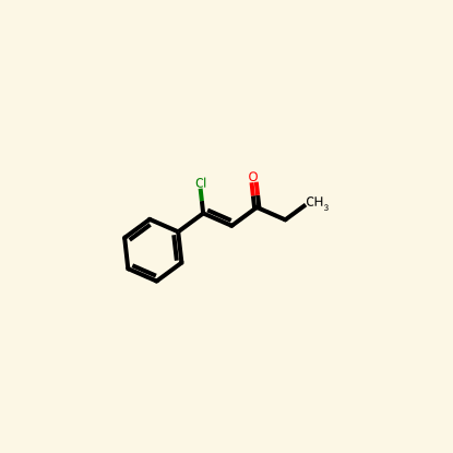 CCC(=O)C=C(Cl)c1ccccc1